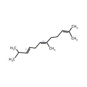 CC(C)=CCC/C(C)=C/C/C=C/C(C)C